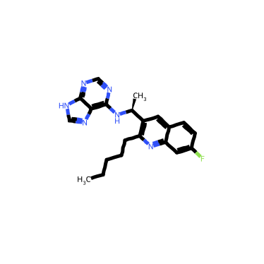 CCCCCc1nc2cc(F)ccc2cc1[C@H](C)Nc1ncnc2[nH]cnc12